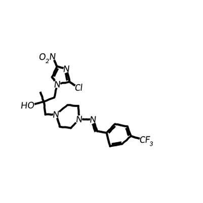 CC(O)(CN1CCN(N=Cc2ccc(C(F)(F)F)cc2)CC1)Cn1cc([N+](=O)[O-])nc1Cl